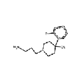 N#CC1(c2ccccc2F)CCN(CCCN)CC1